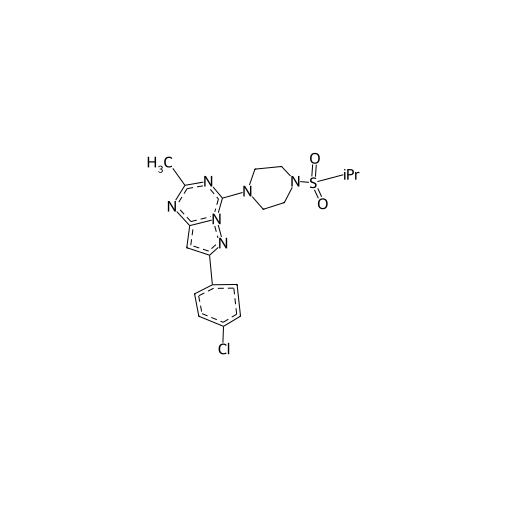 Cc1nc(N2CCN(S(=O)(=O)C(C)C)CC2)n2nc(-c3ccc(Cl)cc3)cc2n1